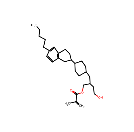 C=C(C)C(=O)OCC(CCO)CC1CCC(C2CCc3cc(CCCCC)ccc3C2)CC1